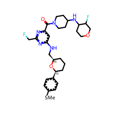 CSc1ccc([C@@H]2CCC[C@H](CNc3cc(C(=O)N4CCC(NC5CCOCC5F)CC4)nc(CF)n3)O2)cc1